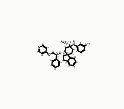 O=C(O)C1(Nc2cccc(Cl)c2)CCC2(CC1)c1ccccc1C[C@@H]2C[C@H](COc1ccncc1)c1ccccc1